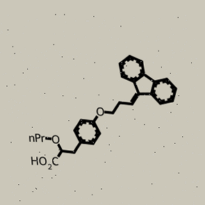 CCCOC(Cc1ccc(OCCC=C2c3ccccc3-c3ccccc32)cc1)C(=O)O